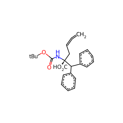 C=C=CC[C@](NC(=O)OC(C)(C)C)(C(=O)O)C(c1ccccc1)c1ccccc1